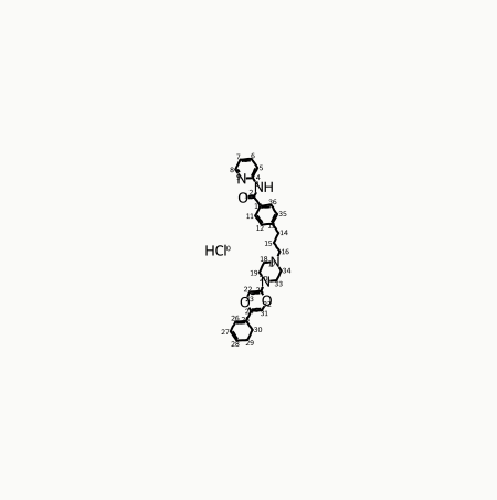 Cl.O=C(Nc1ccccn1)c1ccc(CCCN2CCN(C3=COC(C4=CC=CCC4)=CO3)CC2)cc1